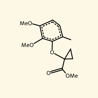 COC(=O)C1(Oc2c(C)ccc(OC)c2OC)CC1